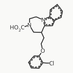 O=C(O)N1CCn2c(cc3ccccc32)C(CCOc2ccccc2Cl)C1